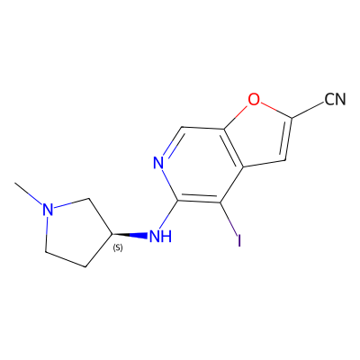 CN1CC[C@H](Nc2ncc3oc(C#N)cc3c2I)C1